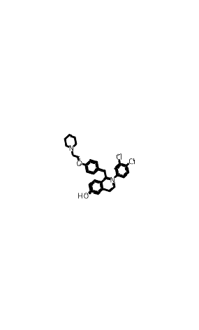 Oc1ccc2c(c1)CCN(c1ccc(Cl)c(Cl)c1)C2Cc1ccc(OCCN2CCCCC2)cc1